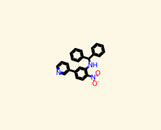 O=[N+]([O-])c1ccc(-c2cccnc2)cc1NC(c1ccccc1)c1ccccc1